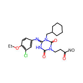 CCOc1ccc(/N=c2\[nH]c(=O)n(CCC(=O)N=O)c(=O)n2CC2CCCCC2)cc1Cl